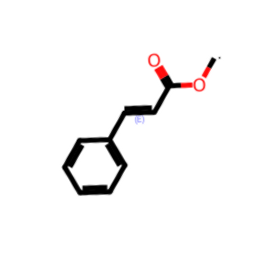 [CH2]OC(=O)/C=C/c1ccccc1